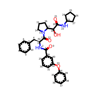 O=C(N[C@@H](Cc1ccccc1)C(=O)N1CCCC1C(O)C(=O)NC1CCCC1)c1cccc(Oc2ccccc2)c1